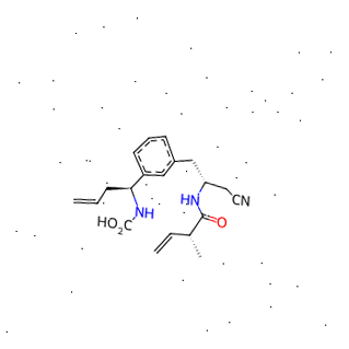 C=CC[C@H](NC(=O)O)c1cccc(C[C@H](CC#N)NC(=O)[C@H](C)C=C)c1